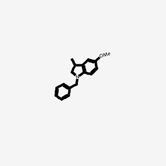 COc1ccc2c(c1)C(C)CN2Cc1ccccc1